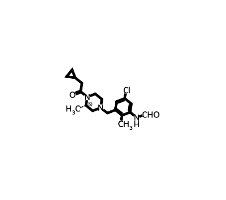 Cc1c(CN2CCN(C(=O)CC3CC3)[C@@H](C)C2)cc(Cl)cc1NC=O